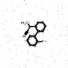 CC(C#N)c1ccccc1-c1ccccc1F